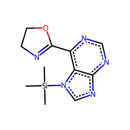 C[Si](C)(C)n1cnc2ncnc(C3=NCCO3)c21